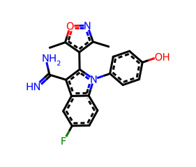 Cc1noc(C)c1-c1c(C(=N)N)c2cc(F)ccc2n1-c1ccc(O)cc1